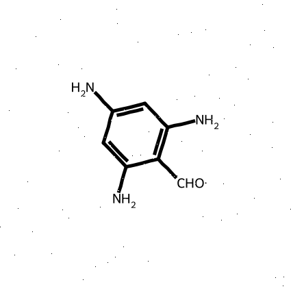 Nc1cc(N)c([C]=O)c(N)c1